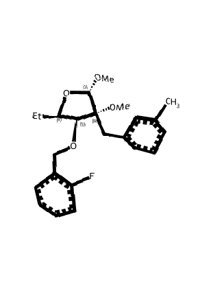 CC[C@H]1O[C@H](OC)[C@](Cc2cccc(C)c2)(OC)[C@H]1OCc1ccccc1F